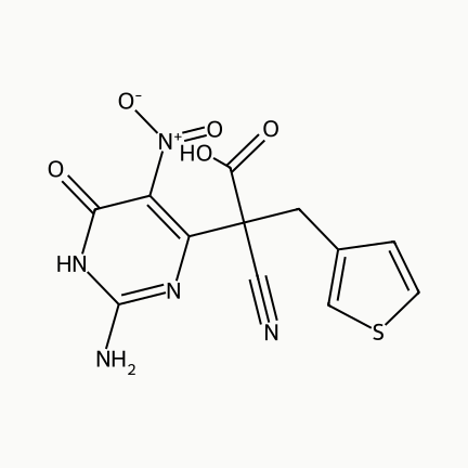 N#CC(Cc1ccsc1)(C(=O)O)c1nc(N)[nH]c(=O)c1[N+](=O)[O-]